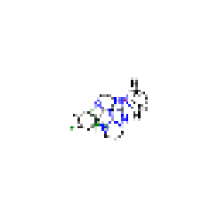 Cc1ccc(N2CCCn3nc(NC4[C@@H]5CC[C@@H]4CN(c4ccnc(C(F)(F)F)c4)C5)nc32)cc1F